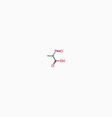 CC(P=O)C(=O)O